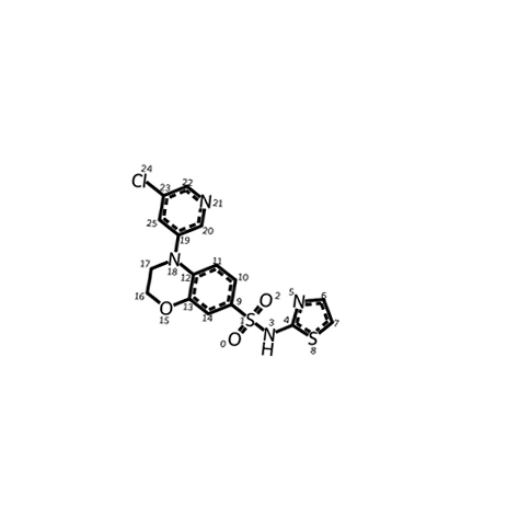 O=S(=O)(Nc1nccs1)c1ccc2c(c1)OCCN2c1cncc(Cl)c1